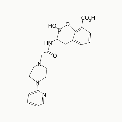 O=C(CN1CCN(c2ccccn2)CC1)NC1Cc2cccc(C(=O)O)c2OB1O